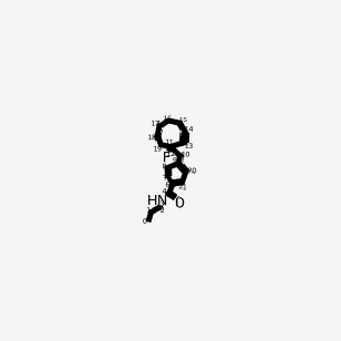 CCCNC(=O)c1ccc(CC2(F)C#CCCCCC2)cc1